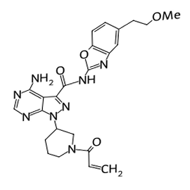 C=CC(=O)N1CCCC(n2nc(C(=O)Nc3nc4cc(CCOC)ccc4o3)c3c(N)ncnc32)C1